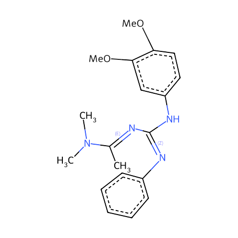 COc1ccc(NC(=N/c2ccccc2)/N=C(\C)N(C)C)cc1OC